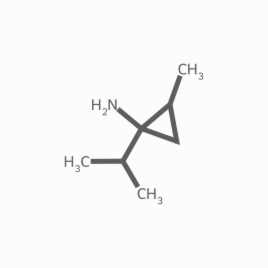 CC(C)C1(N)CC1C